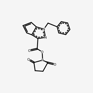 O=C(ON1C(=O)CCC1=O)c1nn(Cc2ccccc2)c2c1C=C=C2